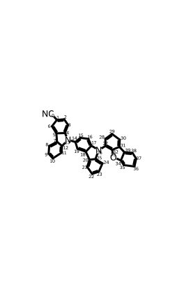 N#Cc1ccc2c(c1)c1ccccc1n2-c1ccc2c(c1)c1ccccc1n2-c1cccc2c1oc1ccccc12